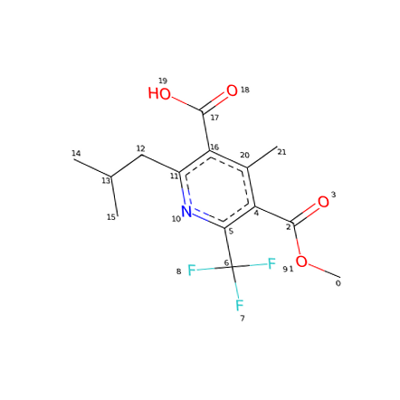 COC(=O)c1c(C(F)(F)F)nc(CC(C)C)c(C(=O)O)c1C